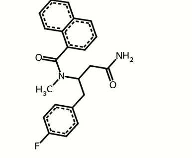 CN(C(=O)c1cccc2ccccc12)C(CC(N)=O)Cc1ccc(F)cc1